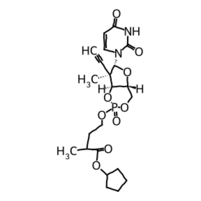 C#C[C@]1(C)[C@@H]2OP(=O)(OCCC(C)C(=O)OC3CCCC3)OC[C@H]2O[C@H]1n1ccc(=O)[nH]c1=O